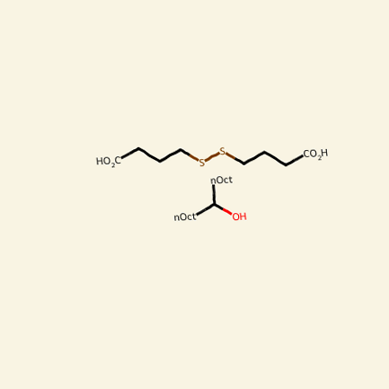 CCCCCCCCC(O)CCCCCCCC.O=C(O)CCCSSCCCC(=O)O